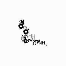 Cc1cc(Nc2ncnc3ccn(CCNC(=O)CC(C)(C)N)c23)ccc1Oc1cccc2sncc12